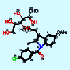 COc1ccc2c(c1)c(CC(=O)O)c(C)n2C(=O)c1ccc(Cl)cc1.O=C[C@H](O)[C@@H](O)[C@H](O)[C@H](O)CO